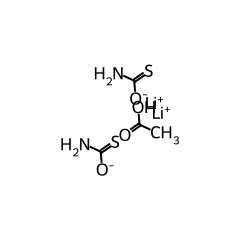 CC(=O)O.NC([O-])=S.NC([O-])=S.[Li+].[Li+]